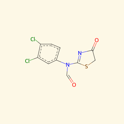 O=CN(C1=NC(=O)CS1)c1ccc(Cl)c(Cl)c1